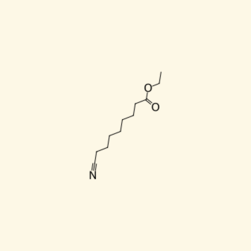 CCOC(=O)CCCCCCCC#N